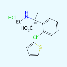 CCN[C@](C)(C(=O)O)c1ccccc1Cl.Cl.c1ccsc1